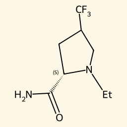 CCN1CC(C(F)(F)F)C[C@H]1C(N)=O